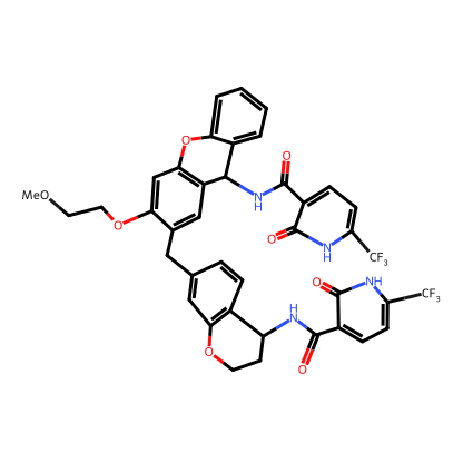 COCCOc1cc2c(cc1Cc1ccc3c(c1)OCCC3NC(=O)c1ccc(C(F)(F)F)[nH]c1=O)C(NC(=O)c1ccc(C(F)(F)F)[nH]c1=O)c1ccccc1O2